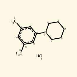 Cl.FC(F)(F)c1cc(N2CCCCC2)cc(C(F)(F)F)c1